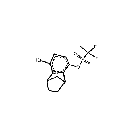 O=S(=O)(Oc1ccc(O)c2c1C1CCC2C1)C(F)(F)F